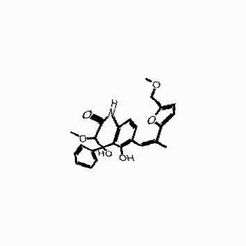 COCc1ccc(C(C)=Cc2ccc3c(c2O)C(O)(c2ccccc2)C(OC)C(=O)N3)o1